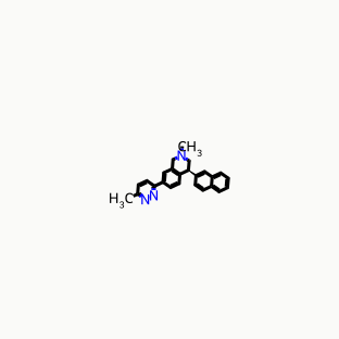 Cc1ccc(-c2ccc3c(c2)CN(C)C[C@H]3c2ccc3ccccc3c2)nn1